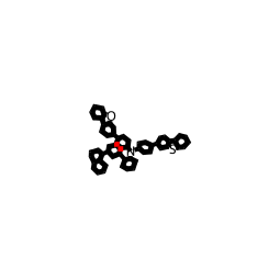 c1cc(-c2ccccc2N(c2ccc(-c3ccc4c(c3)oc3ccccc34)cc2)c2ccc(-c3ccc4c(c3)sc3ccccc34)cc2)cc(-c2cccc3ccccc23)c1